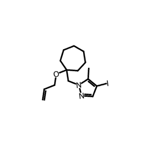 C=CCOC1(Cn2ncc(I)c2C)CCCCCC1